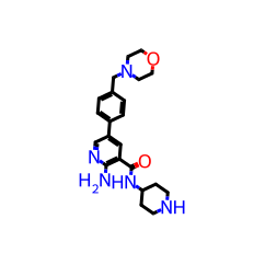 Nc1ncc(-c2ccc(CN3CCOCC3)cc2)cc1C(=O)NC1CCNCC1